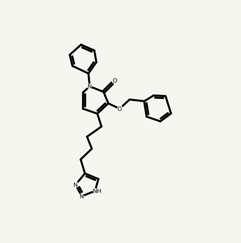 O=c1c(OCc2ccccc2)c(CCCCc2c[nH]nn2)ccn1-c1ccccc1